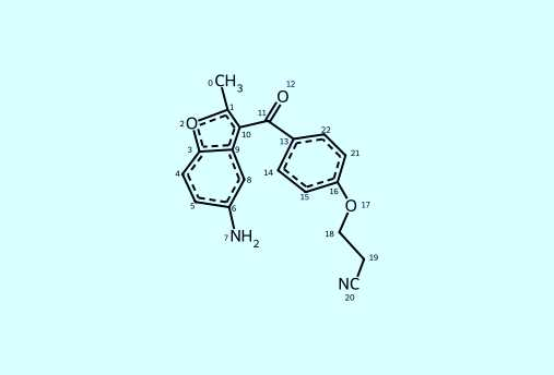 Cc1oc2ccc(N)cc2c1C(=O)c1ccc(OCCC#N)cc1